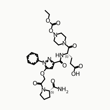 CCOC(=O)ON1CCN(C(=O)[C@H](CCC(=O)O)NC(=O)c2cc(OCC(=O)N3CCC[C@H]3C(N)=O)n(-c3ccccc3)n2)CC1